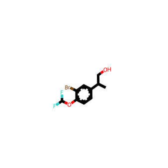 C[C](CO)c1ccc(OC(F)F)c(Br)c1